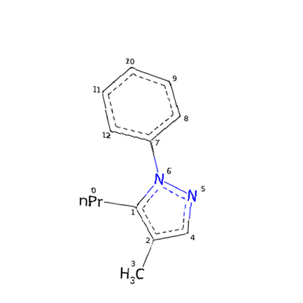 CCCc1c(C)cnn1-c1ccccc1